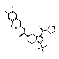 N[C@@H](CC(=O)N1CCn2c(C(F)(F)F)nc(C(=O)N3CCCC3)c2C1)Cc1cc(F)c(F)cc1F